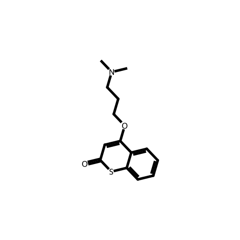 CN(C)CCCOc1cc(=O)sc2ccccc12